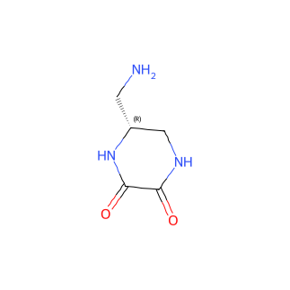 NC[C@@H]1CNC(=O)C(=O)N1